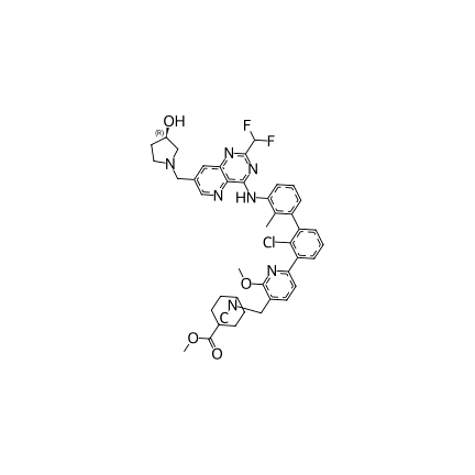 COC(=O)C12CCC(CC1)N(Cc1ccc(-c3cccc(-c4cccc(Nc5nc(C(F)F)nc6cc(CN7CC[C@@H](O)C7)cnc56)c4C)c3Cl)nc1OC)C2